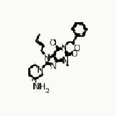 CC=CCn1c(N2CCC[C@@H](N)C2)nc2c1c(=O)n(CC(=O)c1ccccc1)c(=O)n2C